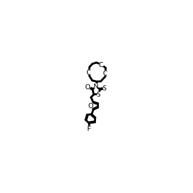 O=C1C(Cc2ccc(-c3ccc(F)cc3)o2)SC(=S)N1C1CCCCCCCCCCC1